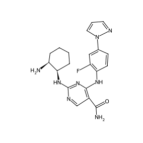 NC(=O)c1cnc(N[C@@H]2CCCC[C@@H]2N)nc1Nc1ccc(-n2cccn2)cc1F